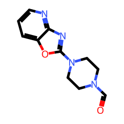 O=CN1CCN(c2nc3ncccc3o2)CC1